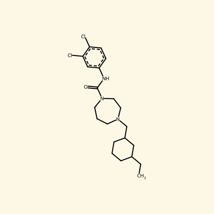 CCC1CCCC(CN2CCCN(C(=O)Nc3ccc(Cl)c(Cl)c3)CC2)C1